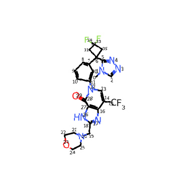 Cn1cnnc1C1(c2cccc(-n3cc(C(F)(F)F)c4nc(CN5CCOCC5)[nH]c4c3=O)c2)CC(F)(F)C1